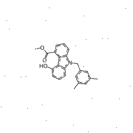 COC(=O)c1cccc2c1c1c(O)cccc1n2Cc1cc(C)cc(C)c1